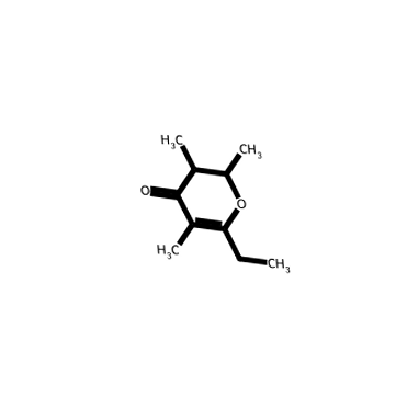 CCC1=C(C)C(=O)C(C)C(C)O1